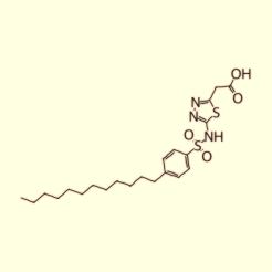 CCCCCCCCCCCCc1ccc(S(=O)(=O)Nc2nnc(CC(=O)O)s2)cc1